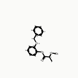 CCOC(C)C(=O)Oc1ccccc1OCc1ccccc1